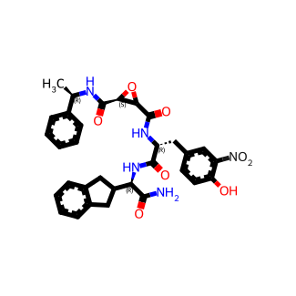 C[C@@H](NC(=O)[C@H]1OC1C(=O)N[C@H](Cc1ccc(O)c([N+](=O)[O-])c1)C(=O)N[C@@H](C(N)=O)C1Cc2ccccc2C1)c1ccccc1